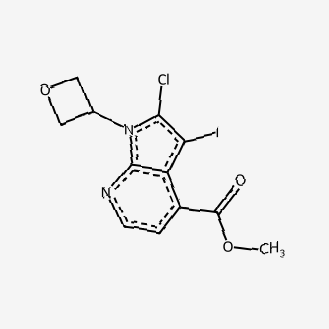 COC(=O)c1ccnc2c1c(I)c(Cl)n2C1COC1